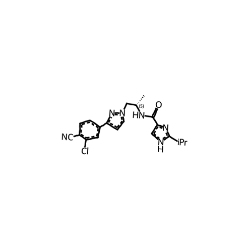 CC(C)c1nc(C(=O)N[C@@H](C)Cn2ccc(-c3ccc(C#N)c(Cl)c3)n2)c[nH]1